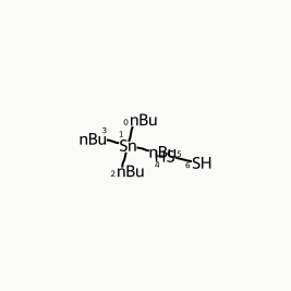 CCC[CH2][Sn]([CH2]CCC)([CH2]CCC)[CH2]CCC.SS